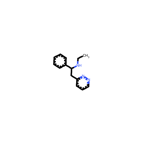 CCNC(Cc1cccnn1)c1ccccc1